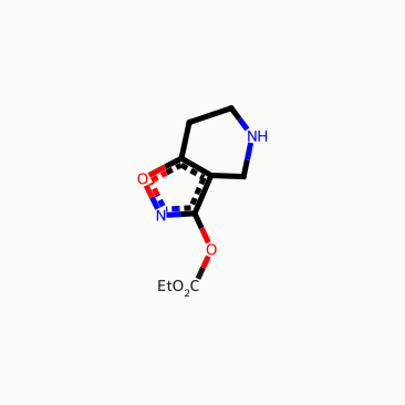 CCOC(=O)Oc1noc2c1CNCC2